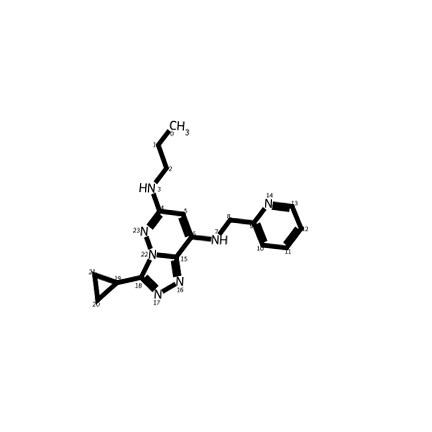 CCCNc1cc(NCc2ccccn2)c2nnc(C3CC3)n2n1